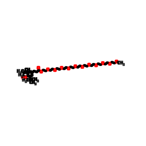 COCCOCCOCCOCCOCCOCCOCCOCCOCCOCCOCCOC(=O)CCc1cc(C(C)(C)C)c(O)c(C(C)(C)C)c1